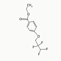 CCOC(=O)c1ccc(OCC(F)(F)C(F)F)cc1